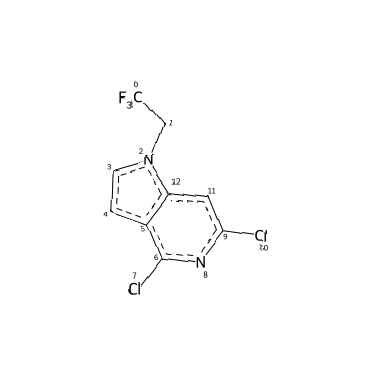 FC(F)(F)Cn1ccc2c(Cl)nc(Cl)cc21